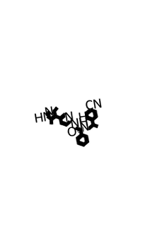 Cc1n[nH]c(C)c1-c1ccc(NC(=O)[C@@H](NCC(C)c2ccc(C#N)cc2)c2ccccc2)nc1